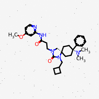 COc1ccnc(NC(=O)CCN2C[C@]3(CC[C@@](c4ccccc4)(N(C)C)CC3)N(CC3CCC3)C2=O)c1